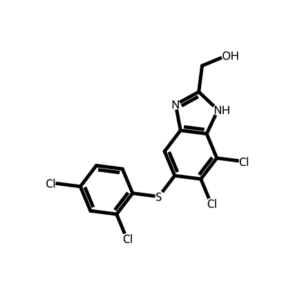 OCc1nc2cc(Sc3ccc(Cl)cc3Cl)c(Cl)c(Cl)c2[nH]1